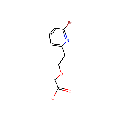 O=C(O)COCCc1cccc(Br)n1